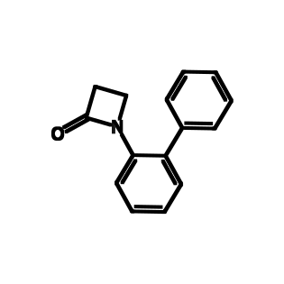 O=C1CCN1c1ccccc1-c1ccccc1